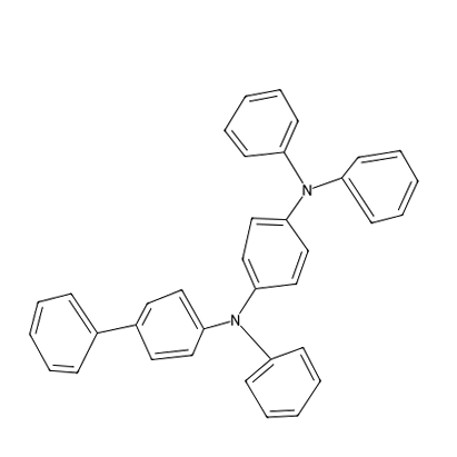 c1ccc(-c2ccc(N(c3ccccc3)c3ccc(N(c4ccccc4)c4ccccc4)cc3)cc2)cc1